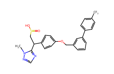 Cn1ncnc1C(CS(=O)O)c1ccc(OCc2cccc(-c3ccc(C(F)(F)F)cc3)c2)cc1